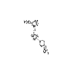 COc1ccc(-c2noc(CSc3nncc(O)n3)n2)cc1